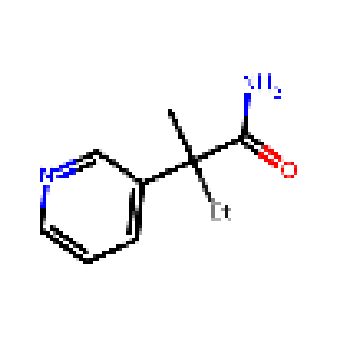 CCC(C)(C(N)=O)c1cccnc1